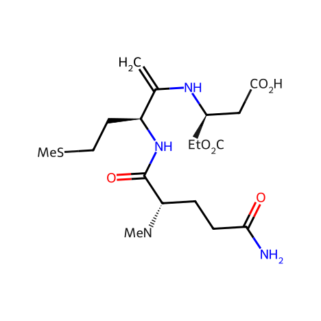 C=C(N[C@@H](CC(=O)O)C(=O)OCC)[C@H](CCSC)NC(=O)[C@H](CCC(N)=O)NC